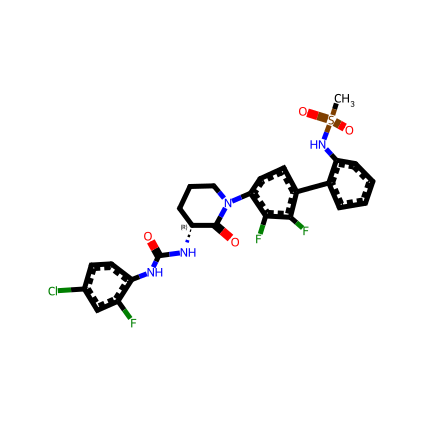 CS(=O)(=O)Nc1ccccc1-c1ccc(N2CCC[C@@H](NC(=O)Nc3ccc(Cl)cc3F)C2=O)c(F)c1F